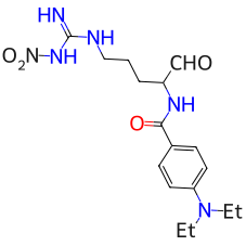 CCN(CC)c1ccc(C(=O)NC(C=O)CCCNC(=N)N[N+](=O)[O-])cc1